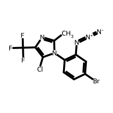 Cc1nc(C(F)(F)F)c(Cl)n1-c1ccc(Br)cc1N=[N+]=[N-]